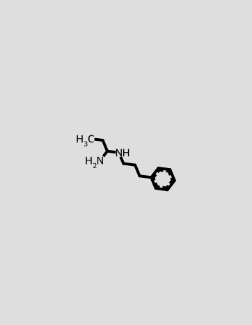 CCC(N)NCCCc1ccccc1